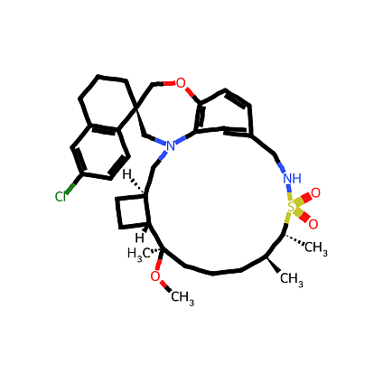 CO[C@]1(C)CCC[C@H](C)[C@@H](C)S(=O)(=O)NCc2ccc3c(c2)N(C[C@@H]2CC[C@H]21)C[C@@]1(CCCc2cc(Cl)ccc21)CO3